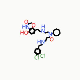 O=C1COc2c(CCNCCN(C(=O)CCNCCc3ccc(Cl)c(Cl)c3)C3CCCCCC3)ccc(O)c2N1